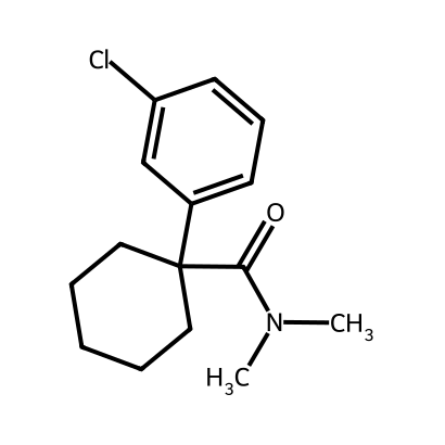 CN(C)C(=O)C1(c2cccc(Cl)c2)CCCCC1